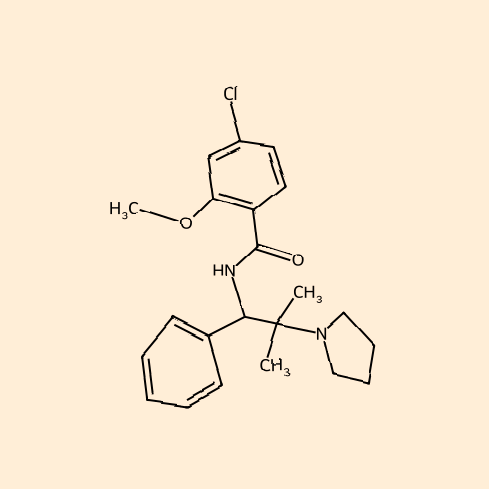 COc1cc(Cl)ccc1C(=O)NC(c1ccccc1)C(C)(C)N1CCCC1